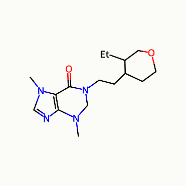 CCC1COCCC1CCN1CN(C)c2ncn(C)c2C1=O